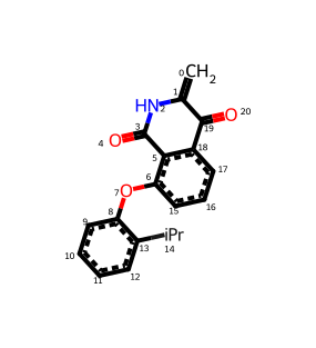 C=C1NC(=O)c2c(Oc3ccccc3C(C)C)cccc2C1=O